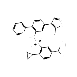 Cc1sncc1-c1ccc(-c2ccccn2)c(NS(=O)(=O)c2cc(C(O)O)ccc2C2CC2)c1